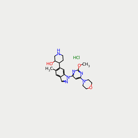 COc1nc(N2CCOCC2)cc(-n2ncc3cc(C)c(C4CCNCC4O)cc32)n1.Cl